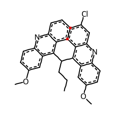 CCCC(c1c2ccccc2nc2ccc(OC)cc12)c1c2ccc(Cl)cc2nc2ccc(OC)cc12